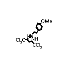 COc1ccc(C=CN2N=C(C(Cl)(Cl)Cl)C=C(C(Cl)(Cl)Cl)N2)cc1